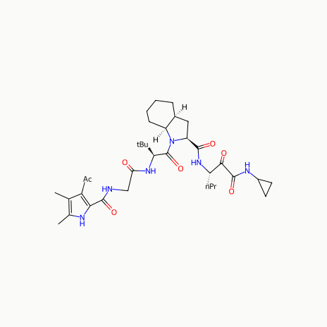 CCC[C@H](NC(=O)[C@@H]1C[C@@H]2CCCC[C@@H]2N1C(=O)[C@@H](NC(=O)CNC(=O)c1[nH]c(C)c(C)c1C(C)=O)C(C)(C)C)C(=O)C(=O)NC1CC1